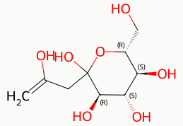 C=C(O)CC1(O)O[C@H](CO)[C@@H](O)[C@H](O)[C@H]1O